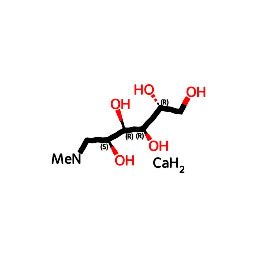 CNC[C@H](O)[C@@H](O)[C@H](O)[C@H](O)CO.[CaH2]